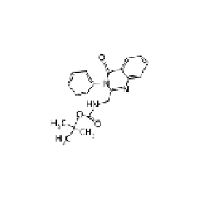 CC(C)(C)OC(=O)NCc1nc2ccccc2c(=O)n1-c1ccccc1